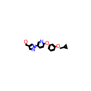 O=Cc1cnn(-c2ccc(Oc3cccc(OCC4CC4)c3)nc2)c1